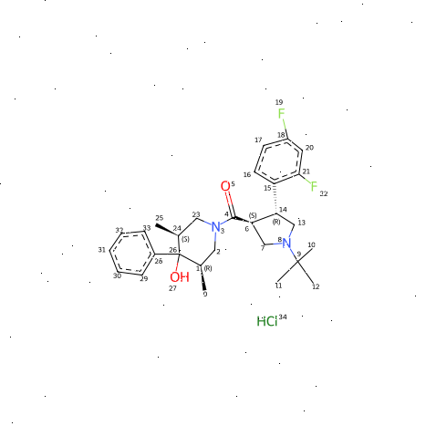 C[C@@H]1CN(C(=O)[C@@H]2CN(C(C)(C)C)C[C@H]2c2ccc(F)cc2F)C[C@H](C)C1(O)c1ccccc1.Cl